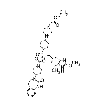 CCOC(=O)CN1CCN(C2CCN(C(=O)[C@@H](Cc3cc(C)c4[nH]c(OC)nc4c3)OC(=O)N3CCC(N4CCc5ccccc5NC4=O)CC3)CC2)CC1